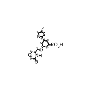 Cc1cnc(-c2cc(OCC3COCC(=O)N3)cc(C(=O)O)c2)s1